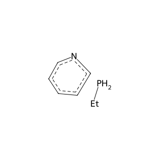 CCP.c1ccncc1